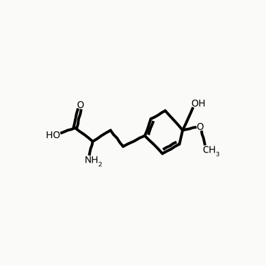 COC1(O)C=CC(CCC(N)C(=O)O)=CC1